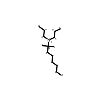 CCCCCCC(C)(C)N(CCC)CCC